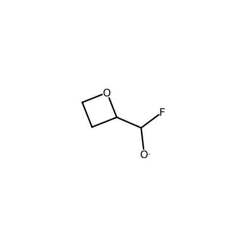 [O]C(F)C1CCO1